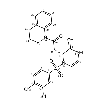 O=C1NC=CN(S(=O)(=O)c2ccc(Cl)c(Cl)c2)[C@@H]1CC(=O)N1CCCc2ccccc21